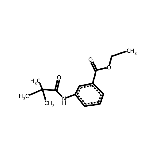 CCOC(=O)c1cccc(NC(=O)C(C)(C)C)c1